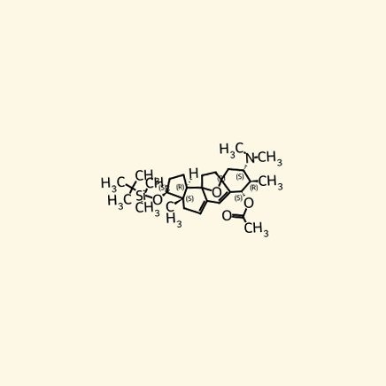 CC(=O)O[C@@H]1C2=CC3=CC[C@]4(C)[C@@H](O[Si](C)(C)C(C)(C)C)CC[C@H]4C34CC[C@]2(C[C@H](N(C)C)[C@H]1C)O4